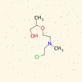 CC(CO)OCCN(C)CCCl